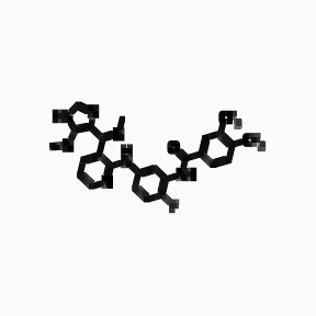 C=Nc1[nH]cnc1/C(=N\C)c1cccnc1Nc1ccc(F)c(NC(=O)c2ccc(C(F)(F)F)c(C(F)(F)F)c2)c1